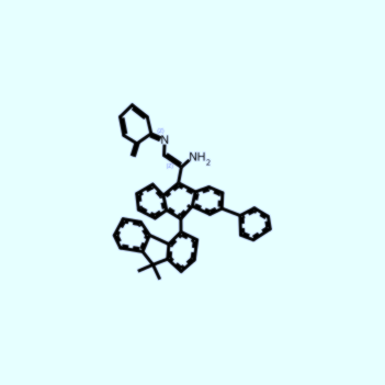 C=C1C=CC=C/C1=N/C=C(\N)c1c2ccccc2c(-c2cccc3c2-c2ccccc2C3(C)C)c2cc(-c3ccccc3)ccc12